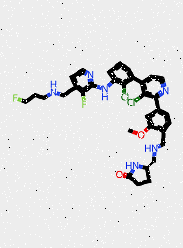 COc1cc(-c2nccc(-c3cccc(Nc4nccc(CNCCCF)c4F)c3Cl)c2Cl)ccc1CNC[C@H]1CCC(=O)N1